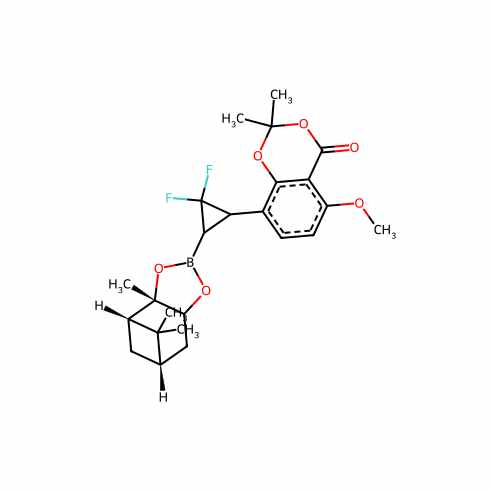 COc1ccc(C2C(B3OC4C[C@@H]5C[C@@H](C5(C)C)[C@]4(C)O3)C2(F)F)c2c1C(=O)OC(C)(C)O2